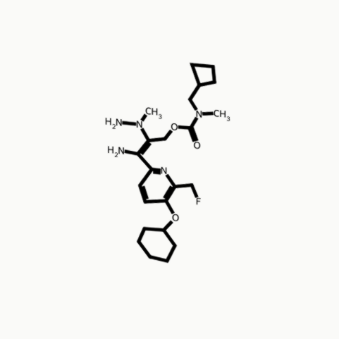 CN(CC1CCC1)C(=O)OC/C(=C(/N)c1ccc(OC2CCCCC2)c(CF)n1)N(C)N